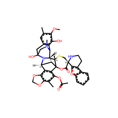 COc1c(C)cc2c(c1O)C1[C@@H]3[C@@H]4SC[C@]5(NCCc6c5oc5ccccc65)C(=O)OC45C[C@@H](c4c6c(c(C)c(OC(C)=O)c45)OCO6)N3C(O)(C2)CN1C